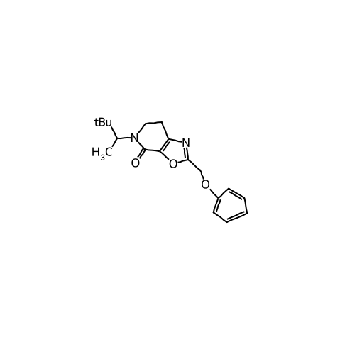 CC(N1CCc2nc(COc3ccccc3)oc2C1=O)C(C)(C)C